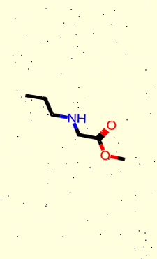 CC[CH]NCC(=O)OC